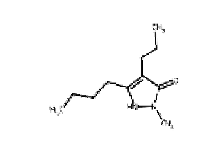 CCCCc1[nH]n(C)c(=O)c1CCC